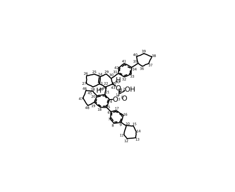 O=P1(O)Oc2c(-c3ccc(C4CCCCC4)cc3)cc3c(c2[C@H]2C4=C(CCCC4)CC(c4ccc(C5CCCCC5)cc4)[C@H]2O1)CCCC3